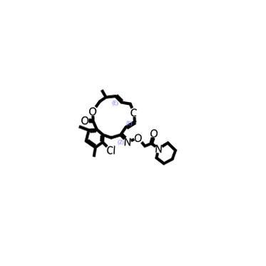 Cc1cc(C)c2c(c1Cl)CC(=N/OCC(=O)N1CCCCC1)/C=C/CC/C=C/C(C)COC2=O